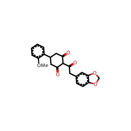 COc1ccccc1C1CC(=O)C(C(=O)Cc2ccc3c(c2)OCO3)C(=O)C1